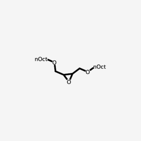 CCCCCCCCOCC1OC1COCCCCCCCC